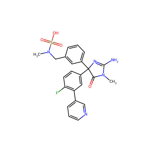 CN1C(=O)C(c2cccc(CN(C)S(=O)(=O)O)c2)(c2ccc(F)c(-c3cccnc3)c2)N=C1N